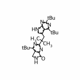 CC(C)(C)c1nc(C(C)(C)C)c2c(CC(C)(C)c3nc4c(c(C(C)(C)C)n3)CNC4=O)c[nH]c2n1